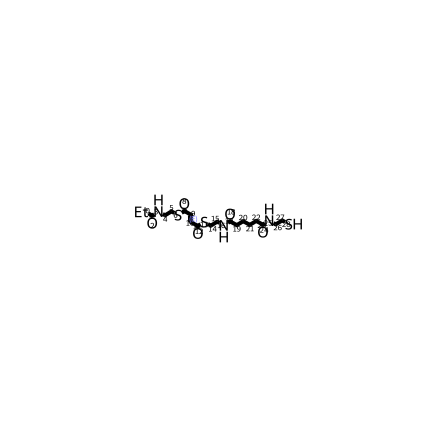 CCC(=O)NCCSC(=O)/C=C/C(=O)SCCNC(=O)CCCCC(=O)NCCS